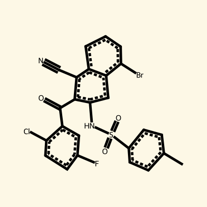 Cc1ccc(S(=O)(=O)Nc2cc3c(Br)cccc3c(C#N)c2C(=O)c2cc(F)ccc2Cl)cc1